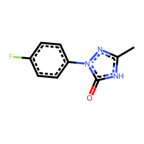 Cc1nn(-c2ccc(F)cc2)c(=O)[nH]1